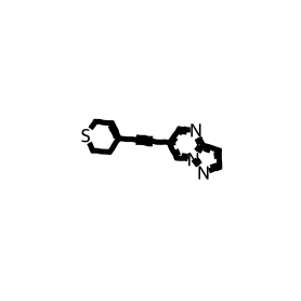 C(#Cc1cnc2ccnn2c1)C1=CCSCC1